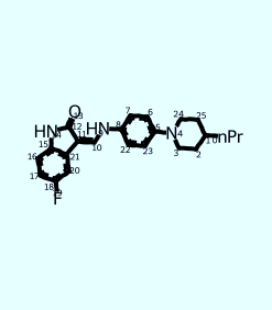 CCCC1CCN(c2ccc(NC=C3C(=O)Nc4ccc(F)cc43)cc2)CC1